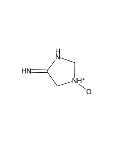 N=C1C[NH+]([O-])CN1